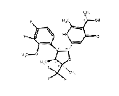 COc1c([C@H]2[C@H](c3cc(=O)c([C@H](C)O)c(C)[nH]3)O[C@@](C)(C(F)(F)F)[C@H]2C)ccc(F)c1F